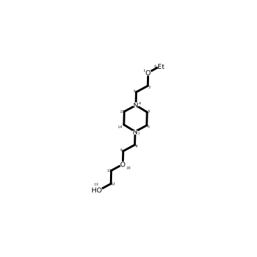 CCOCCN1CCN(CCOCCO)CC1